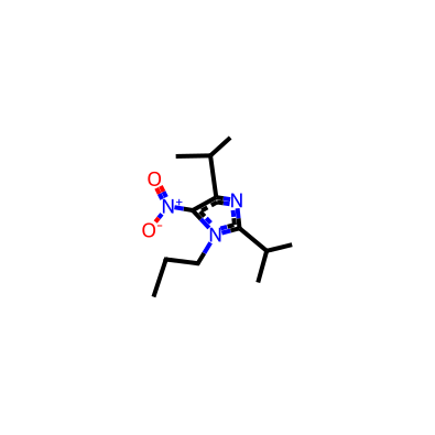 CCCn1c(C(C)C)nc(C(C)C)c1[N+](=O)[O-]